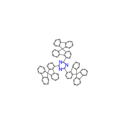 c1ccc2c(c1)-c1ccccc1C21c2ccccc2-c2c(-c3nc(-c4cccc5c4-c4ccccc4C54c5ccccc5-c5ccccc54)nc(-c4cccc5c4-c4ccccc4C54c5ccccc5-c5ccccc54)n3)cccc21